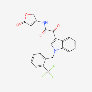 O=C1C=C(NC(=O)C(=O)c2cn(Cc3ccccc3C(F)(F)F)c3ccccc23)CO1